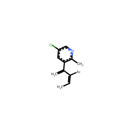 C=C(/C(=C\C)C(C)=O)c1cc(Cl)cnc1C